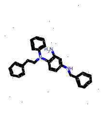 Nc1cc(NCc2ccccc2)c[c]c1N(CCc1ccccc1)c1ccccc1